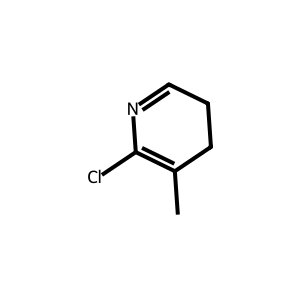 CC1=C(Cl)N=CCC1